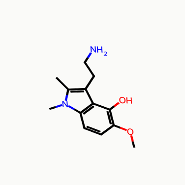 COc1ccc2c(c1O)c(CCN)c(C)n2C